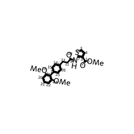 COC(=O)c1ccsc1NC(=O)CCc1ccc(-c2c(OC)cccc2OC)cc1